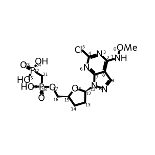 CONc1nc(Cl)nc2c1cnn2[C@H]1CC[C@@H](COP(=O)(O)CP(=O)(O)O)O1